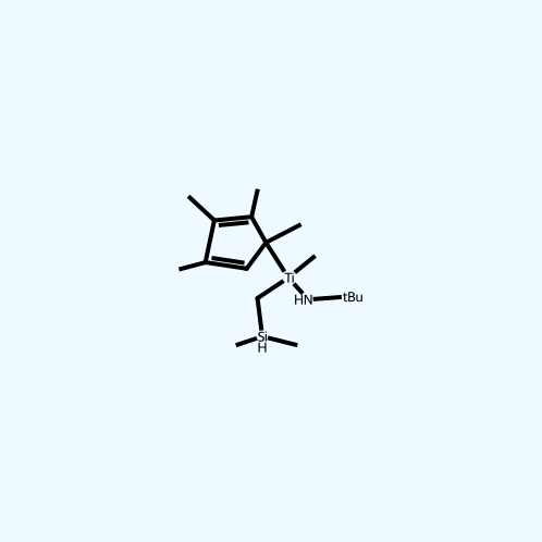 CC1=C[C](C)([Ti]([CH3])([CH2][SiH](C)C)[NH]C(C)(C)C)C(C)=C1C